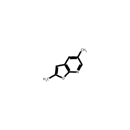 Cc1cnc2oc(C)cc2c1